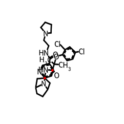 CC(C)(Oc1ccc(Cl)cc1Cl)C(=O)NC1CC2CCC(C1)N2c1ccc(C(=O)NCCN2CCCC2)cn1